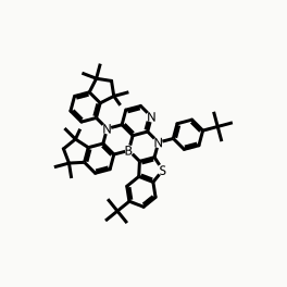 CC(C)(C)c1ccc(N2c3nccc4c3B(c3ccc5c(c3N4c3cccc4c3C(C)(C)CC4(C)C)C(C)(C)CC5(C)C)c3c2sc2ccc(C(C)(C)C)cc32)cc1